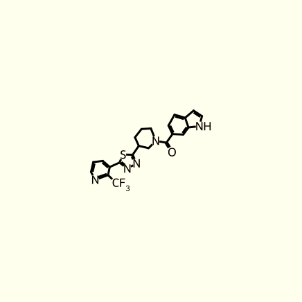 O=C(c1ccc2cc[nH]c2c1)N1CCCC(c2nnc(-c3cccnc3C(F)(F)F)s2)C1